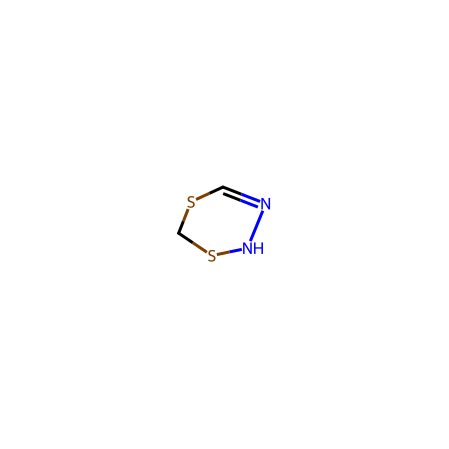 C1=NNSCS1